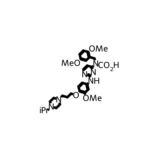 COc1ccc(OC)c(CN(C(=O)O)c2ccnc(Nc3ccc(OCCCN4CCN(C(C)C)CC4)c(OC)c3)n2)c1